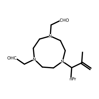 C=C(C)C(CCC)N1CCN(CC=O)CCN(CC=O)CC1